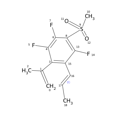 C=C(C)c1c(F)c(F)c(S(C)(=O)=O)c(F)c1/C=C/C